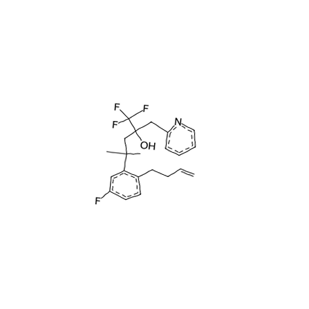 C=CCCc1ccc(F)cc1C(C)(C)CC(O)(Cc1ccccn1)C(F)(F)F